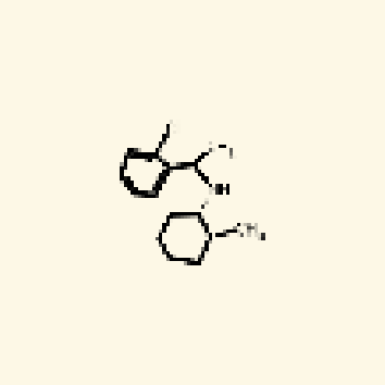 CC(N[C@H]1CCCC[C@@H]1C)c1ccccc1Cl